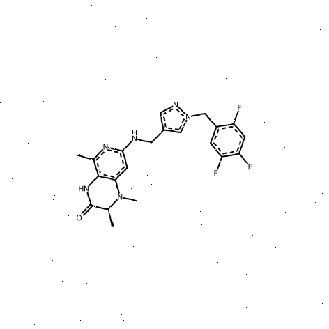 Cc1nc(NCc2cnn(Cc3cc(F)c(F)cc3F)c2)cc2c1NC(=O)[C@H](C)N2C